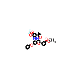 COC(=O)c1cccc([C@H]2C[C@@H](NC(=O)C3(c4ccc5c(c4)OC(F)(F)O5)CC3)c3ccc(OCc4ccccc4)cc3O2)c1